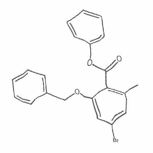 Cc1cc(Br)cc(OCc2ccccc2)c1C(=O)Oc1ccccc1